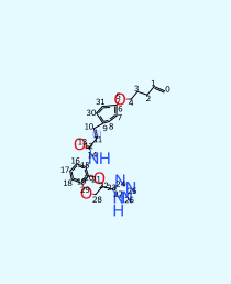 C=CCCCOc1ccc(/C=C/C(=O)Nc2cccc3c2OC(c2nnn[nH]2)CO3)cc1